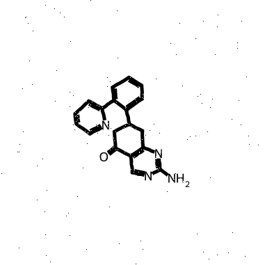 Nc1ncc2c(n1)CC(c1ccccc1-c1ccccn1)CC2=O